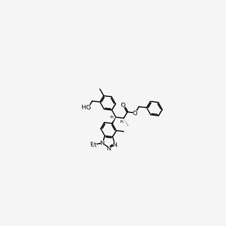 CCn1nnc2c(C)c([C@@H](c3ccc(C)c(CO)c3)[C@@H](C)C(=O)OCc3ccccc3)ccc21